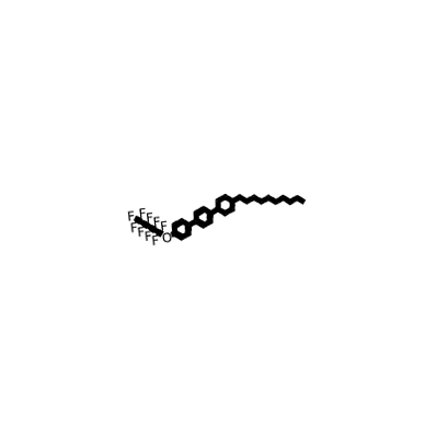 CCCCCCCCCCC1CCC(c2ccc(-c3ccc(OC(F)(F)C(F)(F)C(F)(F)C(F)(F)F)cc3)cc2)CC1